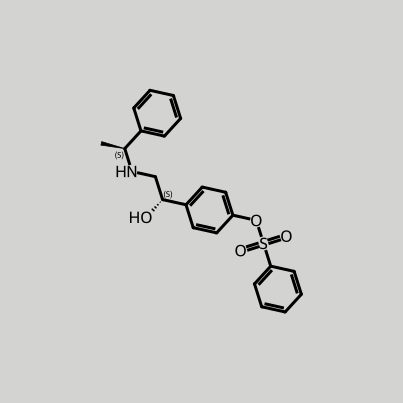 C[C@H](NC[C@@H](O)c1ccc(OS(=O)(=O)c2ccccc2)cc1)c1ccccc1